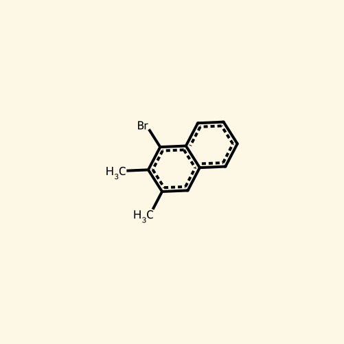 Cc1cc2ccccc2c(Br)c1C